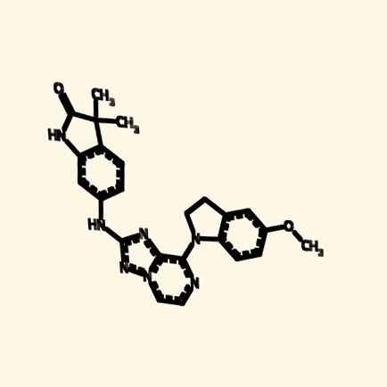 COc1ccc2c(c1)CCN2c1nccn2nc(Nc3ccc4c(c3)NC(=O)C4(C)C)nc12